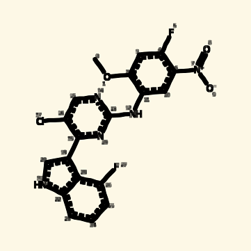 COc1cc(F)c([N+](=O)[O-])cc1Nc1ncc(Cl)c(-c2c[nH]c3cccc(F)c23)n1